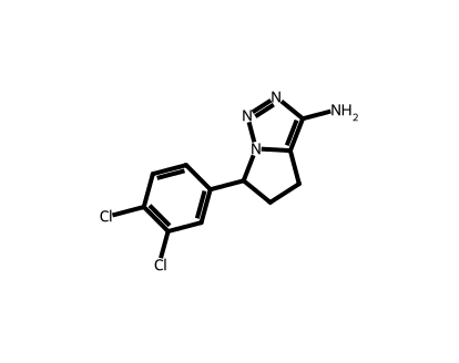 Nc1nnn2c1CCC2c1ccc(Cl)c(Cl)c1